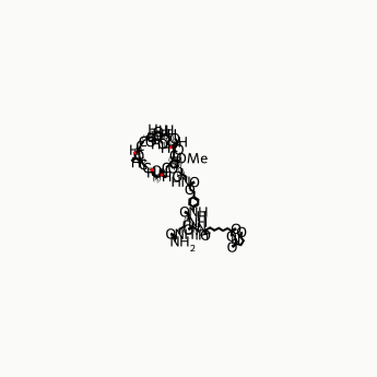 C=C1C[C@@H]2CC[C@@]34C[C@H]5O[C@@H]6C(O[C@H]7CC[C@H](CC(=O)C[C@H]8C(C[C@H]9O[C@@H](CC[C@@H]1O2)C[C@@H](C)C9=C)O[C@H](C[C@H](O)CNC(=O)OCc1ccc(NC(=O)[C@H](CCCNC(N)=O)NC(=O)[C@@H](NC(=O)CCCCCC(=O)ON2C(=O)CCC2=O)C(C)C)cc1)[C@@H]8OC)O[C@@H]7[C@@H]6O3)[C@@H]5O4